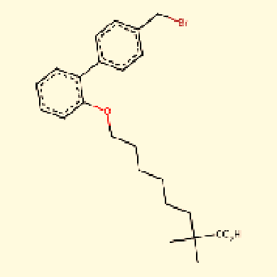 CC(C)(CCCCCCOc1ccccc1-c1ccc(CBr)cc1)C(=O)O